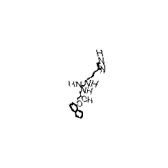 N=C(NCCCc1c[nH]cn1)NCC(O)COc1cccc2ccccc12